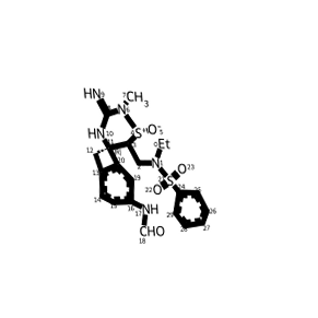 CCN(CC1[S+]([O-])N(C)C(=N)N[C@@]12Cc1ccc(NC=O)cc12)S(=O)(=O)c1ccccc1